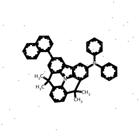 CC1(C)c2cccc3c2-n2c4c1cc(-c1cccc5ccccc15)cc4c1cc(N(c4ccccc4)c4ccccc4)cc(c12)C3(C)C